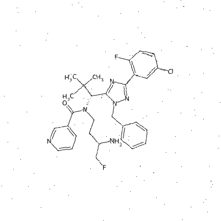 CC(C)(C)[C@H](c1nc(-c2cc(Cl)ccc2F)nn1Cc1ccccc1)N(CCC(N)CF)C(=O)c1cccnc1